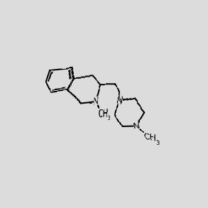 CN1CCN(CC2Cc3ccccc3CN2C)CC1